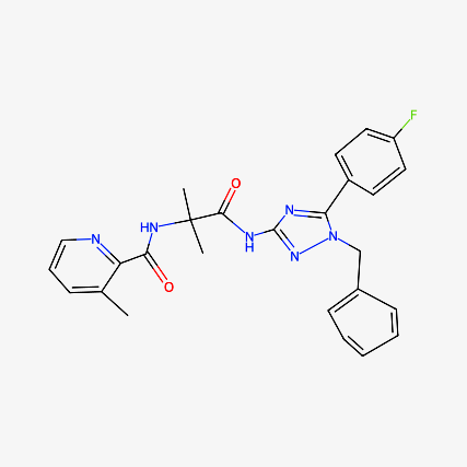 Cc1cccnc1C(=O)NC(C)(C)C(=O)Nc1nc(-c2ccc(F)cc2)n(Cc2ccccc2)n1